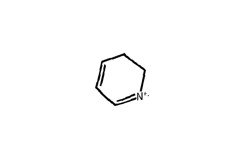 C1=CCC[N+]=C1